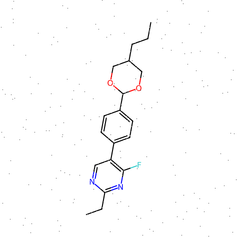 CCCC1COC(c2ccc(-c3cnc(CC)nc3F)cc2)OC1